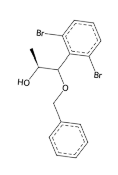 C[C@H](O)C(OCc1ccccc1)c1c(Br)cccc1Br